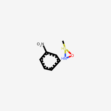 C[SH]1NO1.O=[N+]([O-])c1ccccc1